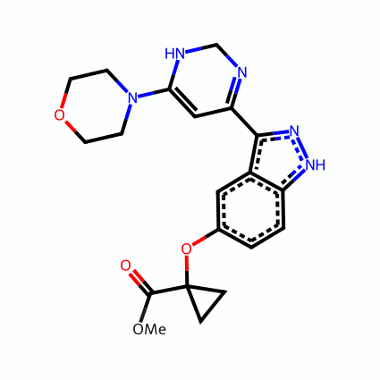 COC(=O)C1(Oc2ccc3[nH]nc(C4=NCNC(N5CCOCC5)=C4)c3c2)CC1